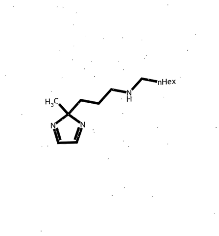 CCCCCCCNCCCC1(C)N=CC=N1